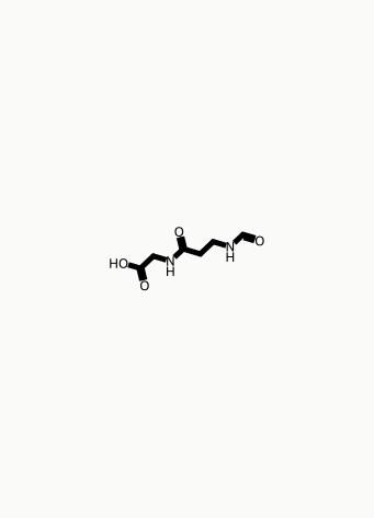 O=CNCCC(=O)NCC(=O)O